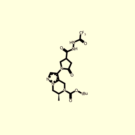 C[C@H]1Cn2ncc(N3CC(C(=O)NNC(=O)C(F)(F)F)CC3=O)c2CN1C(=O)OC(C)(C)C